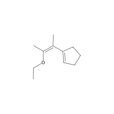 CCOC(C)=C(C)C1=CCCC1